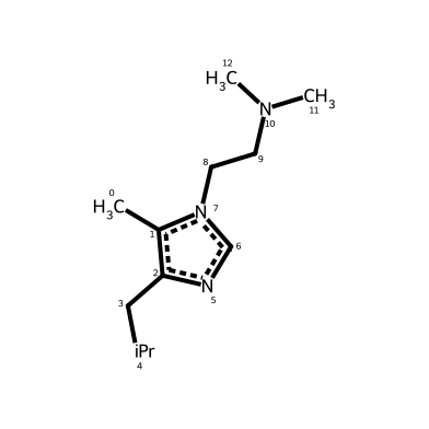 Cc1c(CC(C)C)n[c]n1CCN(C)C